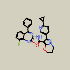 O=C(N[C@H]1N=C(c2ccccc2)c2cccc(F)c2NC1=O)c1c(-c2ccc(C3CC3)nc2)nn2c1OCCC2